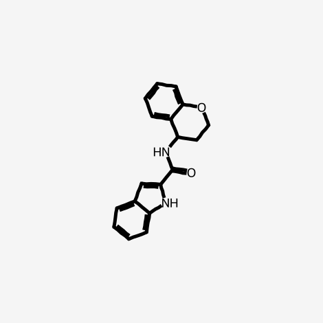 O=C(NC1CCOc2ccccc21)c1cc2ccccc2[nH]1